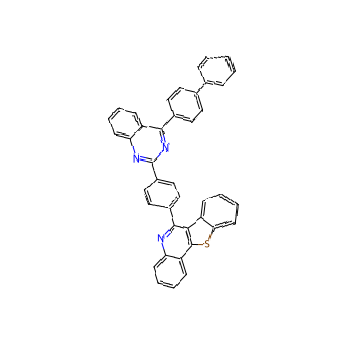 c1ccc(-c2ccc(-c3nc(-c4ccc(-c5nc6ccccc6c6sc7ccccc7c56)cc4)nc4ccccc34)cc2)cc1